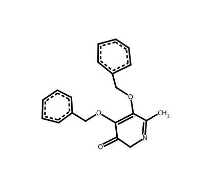 CC1=NCC(=O)C(OCc2ccccc2)=C1OCc1ccccc1